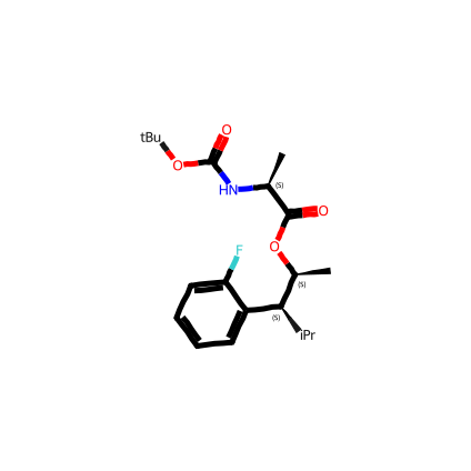 CC(C)[C@@H](c1ccccc1F)[C@H](C)OC(=O)[C@H](C)NC(=O)OC(C)(C)C